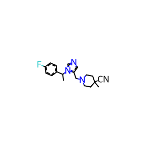 CC(c1ccc(F)cc1)n1cncc1CN1CCC(C)(C#N)CC1